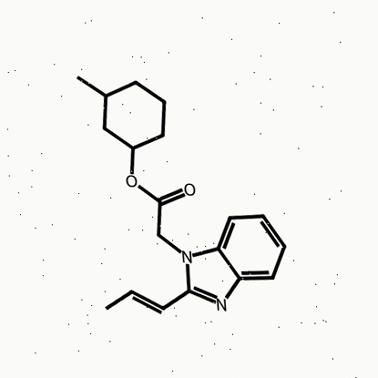 C/C=C/c1nc2ccccc2n1CC(=O)OC1CCCC(C)C1